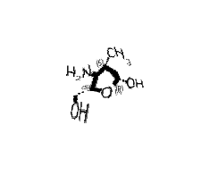 C[C@H]1C(N)[C@@H](CO)O[C@H]1O